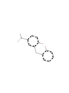 CC(Cl)c1ccc2c(c1)Cc1ccccc1O2